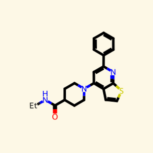 CCNC(=O)C1CCN(c2cc(-c3ccccc3)nc3sccc23)CC1